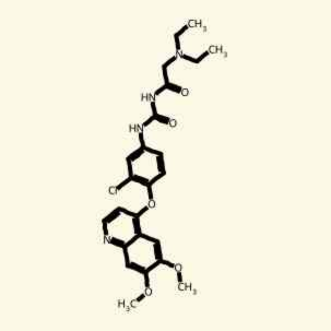 CCN(CC)CC(=O)NC(=O)Nc1ccc(Oc2ccnc3cc(OC)c(OC)cc23)c(Cl)c1